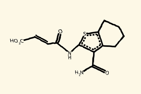 NC(=O)c1c(NC(=O)C=CC(=O)O)sc2c1CCCC2